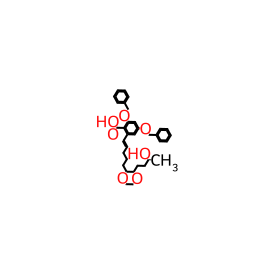 C[C@@H](O)CCC1OCCOC1CCCC=Cc1cc(OCc2ccccc2)cc(OCc2ccccc2)c1C(=O)O